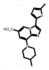 Cc1ccc(-c2cnc3c(N4CCC(C)CC4)cc(C(=O)O)cn23)s1